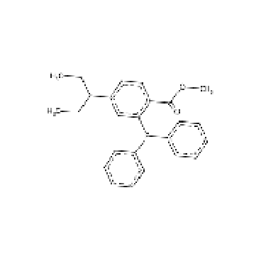 CCC(CC)c1ccc(C(=O)OC)c(P(c2ccccc2)c2ccccc2)c1